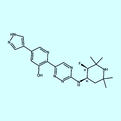 CC1(C)C[C@@H](Nc2ncc(-c3ncc(-c4cn[nH]c4)cc3O)nn2)[C@@H](F)C(C)(C)N1